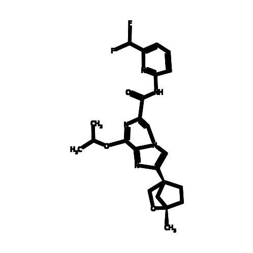 CC(C)Oc1nc(C(=O)Nc2cccc(C(F)F)n2)cn2cc([C@@]34CC[C@@](C)(C3)OC4)nc12